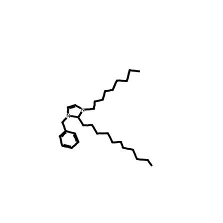 CCCCCCCCCCCC1N(CCCCCCCCC)C=CN1Cc1ccccc1